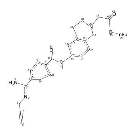 C#CCN=C(N)c1ccc(C(=O)Nc2ccc3c(c2)CCN(CC(=O)OCCCC)C3)cc1